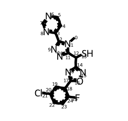 Cn1c(-c2ccncn2)nnc1C(S)c1noc(-c2cc(Cl)ccc2F)n1